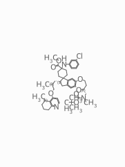 COC(=O)C1(Nc2cccc(Cl)c2)CCC2(CC1)c1cc3c(cc1C[C@@H]2C[C@@H](C)COc1ccnc2c1[C@H](C)CCC2)O[C@@H](CN(C)C(=O)OC(C)(C)C)CCO3